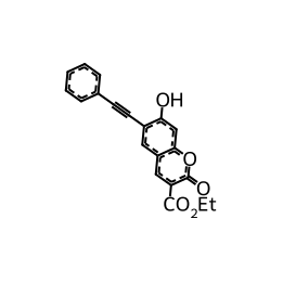 CCOC(=O)c1cc2cc(C#Cc3ccccc3)c(O)cc2oc1=O